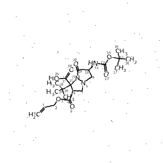 C=CCOC(=O)C1CN2C[C@H](NC(=O)OC(C)(C)C)C(=O)N2C1(C(=O)O)C(C)(C)C